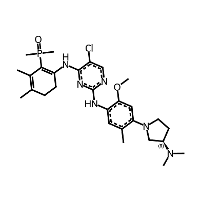 COc1cc(N2CC[C@@H](N(C)C)C2)c(C)cc1Nc1ncc(Cl)c(NC2=C(P(C)(C)=O)C(C)=C(C)CC2)n1